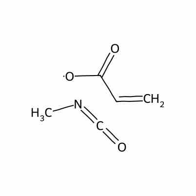 C=CC([O])=O.CN=C=O